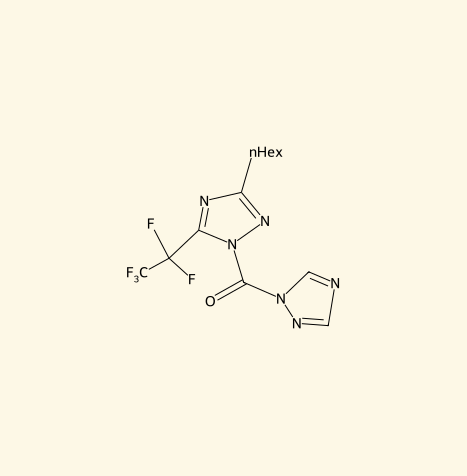 CCCCCCc1nc(C(F)(F)C(F)(F)F)n(C(=O)n2cncn2)n1